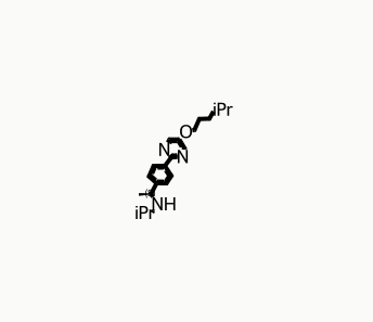 CC(C)CCCOc1cnc(-c2ccc([C@H](C)NC(C)C)cc2)nc1